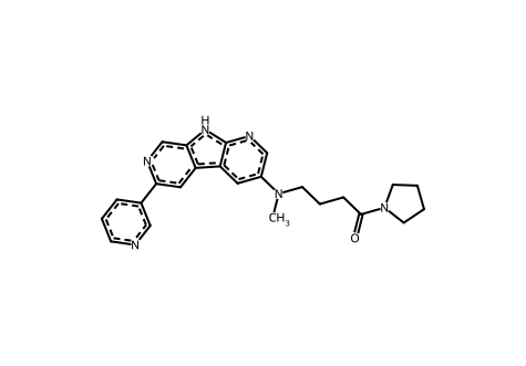 CN(CCCC(=O)N1CCCC1)c1cnc2[nH]c3cnc(-c4cccnc4)cc3c2c1